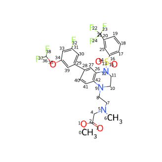 COC(=O)CN(C)CCN1CCN(S(=O)(=O)c2cccc(C(F)(F)F)c2)c2cc(-c3cc(F)cc(OC(F)F)c3)ccc21